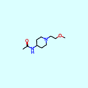 COCCN1CCC(NC(C)=O)CC1